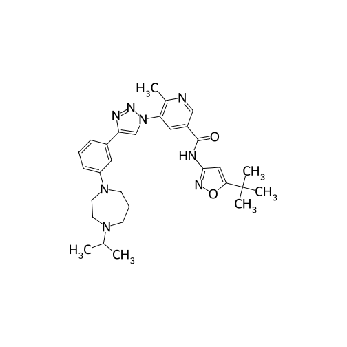 Cc1ncc(C(=O)Nc2cc(C(C)(C)C)on2)cc1-n1cc(-c2cccc(N3CCCN(C(C)C)CC3)c2)nn1